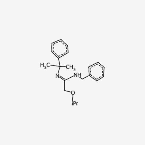 CC(C)OC/C(=N/C(C)(C)c1ccccc1)NCc1ccccc1